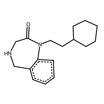 O=C1CNCc2ccccc2N1CCC1CCCCC1